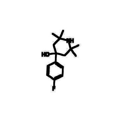 CC1(C)CC(O)(c2ccc(F)cc2)CC(C)(C)N1